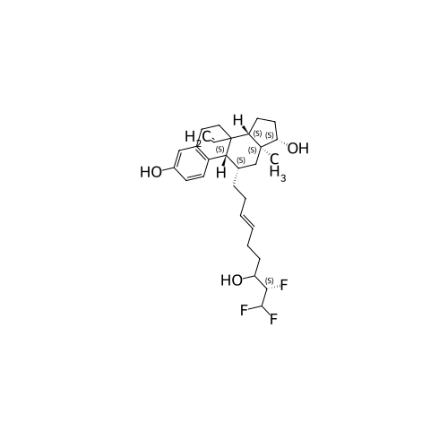 C=CC12CCc3cc(O)ccc3[C@H]1[C@@H](CCC=CCCC(O)[C@H](F)C(F)F)C[C@]1(C)[C@@H](O)CC[C@@H]21